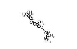 C=C(C)C(=O)Oc1ccc(OC(=O)c2ccc3c(c2)C(C)c2cc(OCCCCOC(=O)C(=C)CC(=O)OC)ccc2-3)cc1